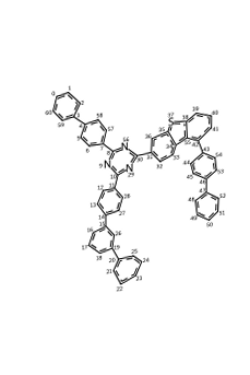 c1ccc(-c2ccc(-c3nc(-c4ccc(-c5cccc(-c6ccccc6)c5)cc4)nc(-c4ccc5c(c4)sc4cccc(-c6ccc(-c7ccccc7)cc6)c45)n3)cc2)cc1